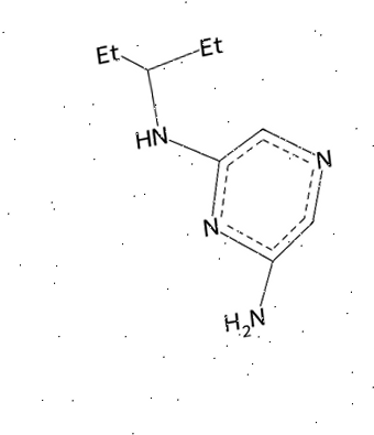 CCC(CC)Nc1cncc(N)n1